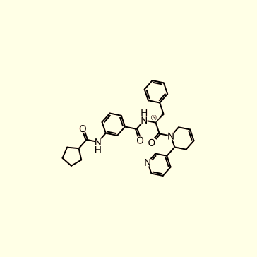 O=C(N[C@@H](Cc1ccccc1)C(=O)N1CC=CCC1c1cccnc1)c1cccc(NC(=O)C2CCCC2)c1